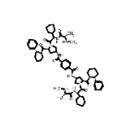 CN[C@@H](C)C(=O)N[C@H](C(=O)N1C[C@@H](NC(=O)c2ccc(C(=O)N[C@H]3C[C@@H](C(=O)N4CCCC[C@@H]4c4ccccc4)N(C(=O)[C@@H](NC(=O)[C@H](C)NC)C4CCCCC4)C3)cc2)CC1C(=O)N1CCCC[C@@H]1c1ccccc1)C1CCCCC1